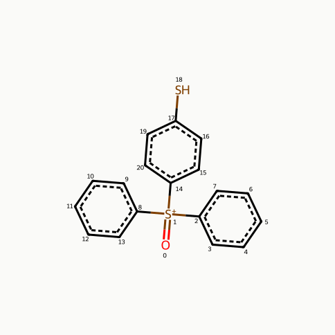 O=[S+](c1ccccc1)(c1ccccc1)c1ccc(S)cc1